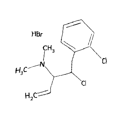 Br.C=CC(C(Cl)c1ccccc1Cl)N(C)C